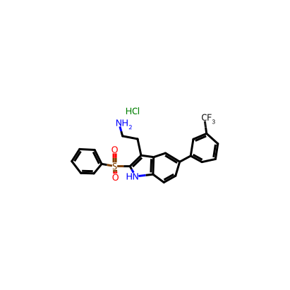 Cl.NCCc1c(S(=O)(=O)c2ccccc2)[nH]c2ccc(-c3cccc(C(F)(F)F)c3)cc12